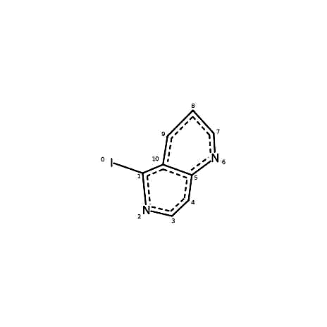 Ic1nccc2ncccc12